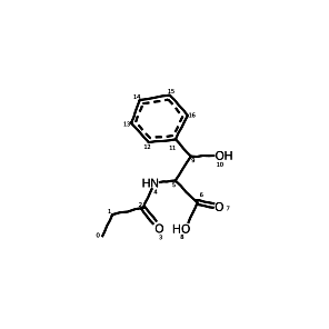 CCC(=O)NC(C(=O)O)C(O)c1ccccc1